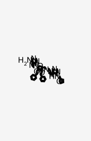 Nc1ncnc2c1ncn2C1OC(CNCn2cnc3c(NCc4ccco4)ncnc32)C(OCc2ccccc2)C1OCc1ccccc1